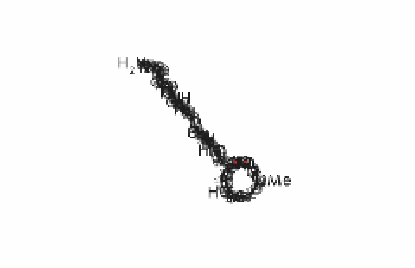 CO[C@H]1CC2CCCC(O2)C(=O)C(=O)N2CCCC[C@H]2C(=O)O[C@H](CC[C@H]2CC[C@H](OC(=O)NCc3cnc(N4CCN(C(=O)CCOCCN5CCN(c6ncc(C(=O)NCCS(=O)(=O)c7ccc(C(=O)N8CCOc9ccc(-c%10ccc(N)nc%10)cc9C8)c(C)c7F)cn6)CC5)CC4)nc3)CC2)CC[C@H](C)/C=C(\C)[C@@H](O)CC(=O)[C@H](C)C[C@H](C)/C=C/C=C/C=C/1C